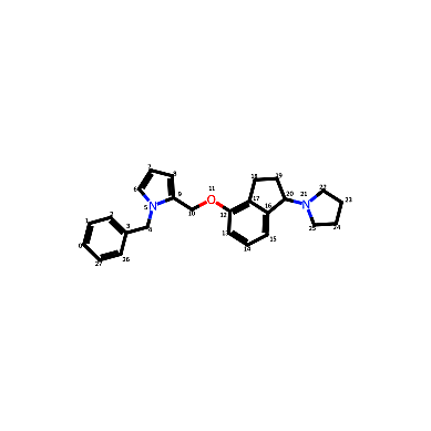 c1ccc(Cn2cccc2COc2cccc3c2CCC3N2CCCC2)cc1